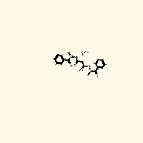 CN([N-]C(=O)CC(=O)[N-]N(C)C(=S)c1ccccc1)C(=S)c1ccccc1.[Cu+2]